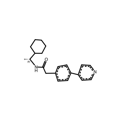 C[C@@H](NC(=O)Cc1ccc(-c2ccncc2)cc1)C1CCCCC1